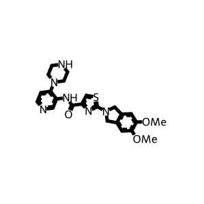 COc1cc2c(cc1OC)CN(c1nc(C(=O)Nc3cnccc3N3CCNCC3)cs1)C2